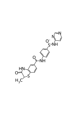 CC1Sc2ccc(C(=O)Nc3ccc([S+]([O-])Nc4ccncn4)cc3)cc2NC1=O